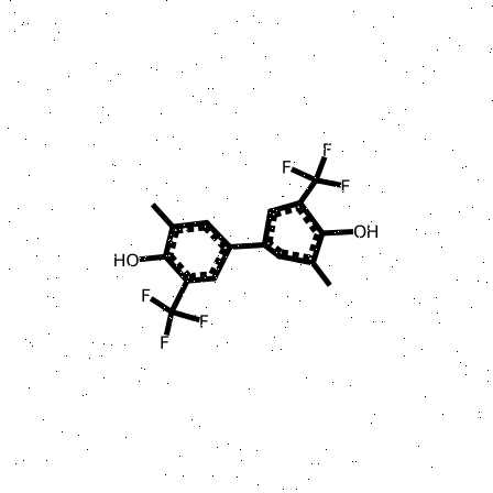 Cc1cc(-c2cc(C)c(O)c(C(F)(F)F)c2)cc(C(F)(F)F)c1O